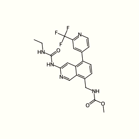 CCNC(=O)Nc1cc2c(-c3ccnc(C(F)(F)F)c3)ccc(CNC(=O)OC)c2cn1